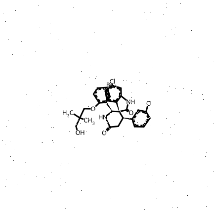 CC(C)(CO)COc1ccc(Br)cc1[C@@H]1NC(=O)C[C@H](c2cccc(Cl)c2)[C@@]12C(=O)Nc1cc(Cl)ccc12